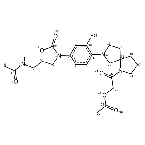 CC(=O)NCC1CN(c2ccc(N3CCC4(CCCN4C(=O)COC(C)=O)C3)c(F)c2)C(=O)O1